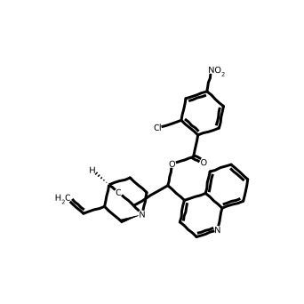 C=CC1C[N@]2CC[C@H]1CC2C(OC(=O)c1ccc([N+](=O)[O-])cc1Cl)c1ccnc2ccccc12